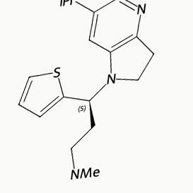 CNCC[C@@H](c1cccs1)N1CCc2ncc(C(C)C)cc21